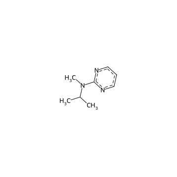 CC(C)N(C)c1ncccn1